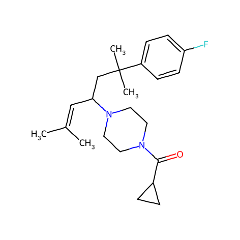 CC(C)=CC(CC(C)(C)c1ccc(F)cc1)N1CCN(C(=O)C2CC2)CC1